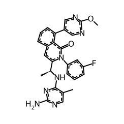 COc1ncc(-c2cccc3cc([C@H](C)Nc4nc(N)ncc4C)n(-c4cccc(F)c4)c(=O)c23)cn1